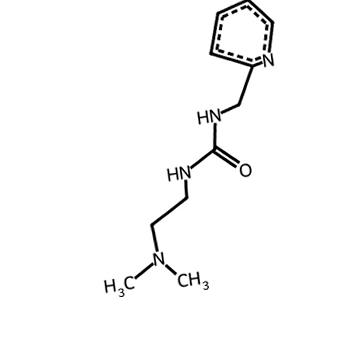 CN(C)CCNC(=O)NCc1ccccn1